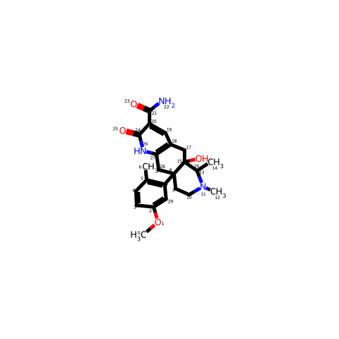 COc1ccc(C)c(C23CCN(C)C(C)C2(O)Cc2cc(C(N)=O)c(=O)[nH]c2C3)c1